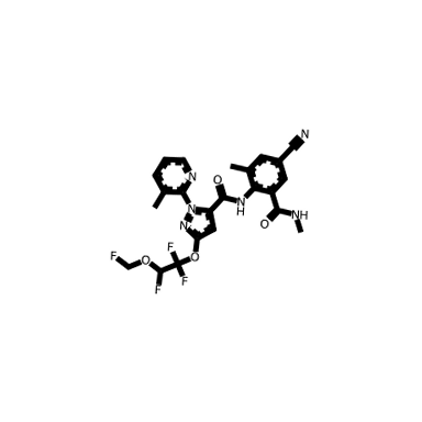 CNC(=O)c1cc(C#N)cc(C)c1NC(=O)c1cc(OC(F)(F)C(F)OCF)nn1-c1ncccc1C